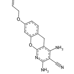 C=CCOc1ccc2c(c1)Oc1nc(N)c(C#N)c(N)c1C2